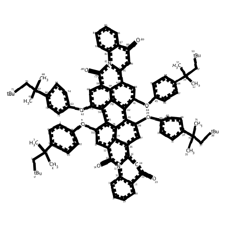 CC(C)(C)CC(C)(C)c1ccc(Oc2cc3c(=O)n4c5ccccc5c(=O)cc4c4cc(Oc5ccc(C(C)(C)CC(C)(C)C)cc5)c5c6c(Oc7ccc(C(C)(C)CC(C)(C)C)cc7)cc7c8c(cc(Oc9ccc(C(C)(C)CC(C)(C)C)cc9)c(c2c5c34)c68)c(=O)n2c3ccccc3c(=O)cc72)cc1